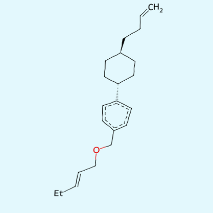 C=CCC[C@H]1CC[C@H](c2ccc(COCC=CCC)cc2)CC1